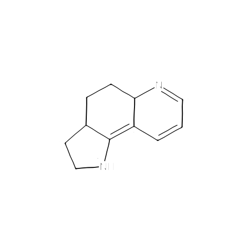 C1=CC2=C3NCCC3CCC2N=C1